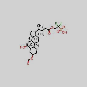 C[C@H](CCC(=O)OCC(F)(F)S(=O)(=O)O)[C@H]1CC[C@H]2[C@@H]3C[C@H](O)C4C[C@H](OC=O)CC[C@]4(C)[C@H]3CC[C@]12C